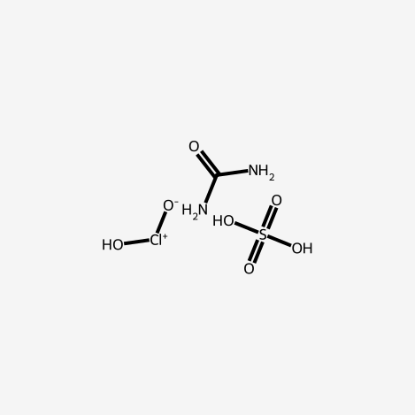 NC(N)=O.O=S(=O)(O)O.[O-][Cl+]O